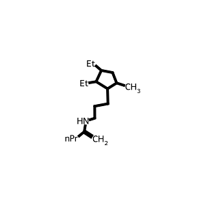 C=C(CCC)NCCCC1C(C)CC(CC)C1CC